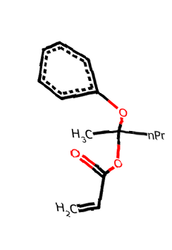 C=CC(=O)OC(C)(CCC)Oc1ccccc1